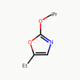 CCc1cnc(OC(C)C)o1